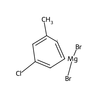 Cc1[c]ccc(Cl)c1.[Br][Mg][Br]